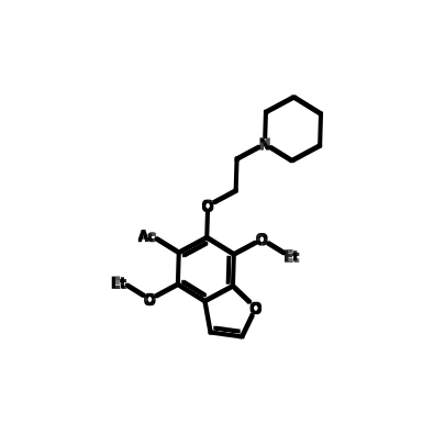 CCOc1c(C(C)=O)c(OCCN2CCCCC2)c(OCC)c2occc12